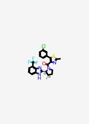 Cc1nc(C(=O)N2CC[C@H](C)[C@H]2c2nc3c(C(F)(F)F)cccc3[nH]2)c(-c2cccc(Cl)c2)s1